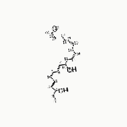 CCC(O)/C=C/C=C\C=C\C(O)C/C=C\C/C=C\CCCC(C)=O